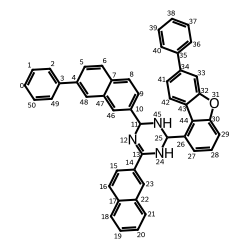 c1ccc(-c2ccc3ccc(C4N=C(c5ccc6ccccc6c5)NC(c5cccc6oc7cc(-c8ccccc8)ccc7c56)N4)cc3c2)cc1